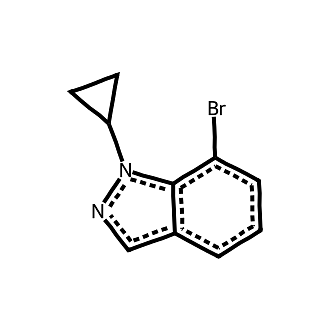 Brc1cccc2cnn(C3CC3)c12